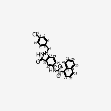 O=c1[nH]n(Cc2ccc(Cl)cc2)c2ccc(NS(=O)(=O)c3cccc4ccccc34)cc12